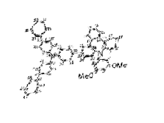 COc1cc(OC)cc(N2c3ccccc3-c3ccccc3-c3cc(-c4ccc(N(c5ccc(-c6ccccc6)cc5)c5ccc(-c6ccccc6)cc5)cc4)ccc32)c1